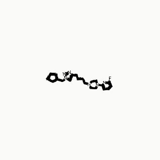 Fc1cccc(N2CCN(CCCCc3cn(CC4CCCC4)nn3)CC2)n1